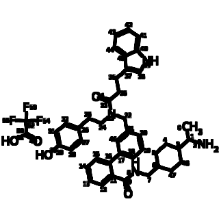 CC(N)C1CCC(CNC(=O)c2ccccc2-c2cccc(CN(CCc3ccc(O)cc3)C(=O)CCc3c[nH]c4ccccc34)c2)CC1.O=C(O)C(F)(F)F